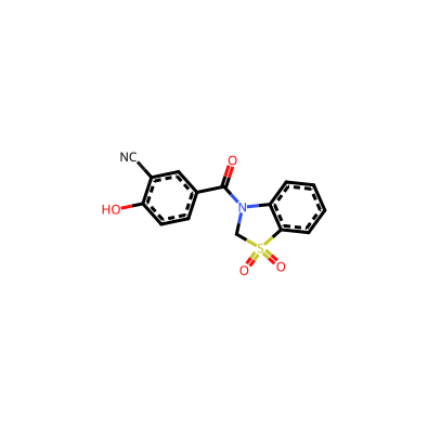 N#Cc1cc(C(=O)N2CS(=O)(=O)c3ccccc32)ccc1O